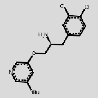 CC(C)(C)c1cncc(OC[C@@H](N)Cc2ccc(Cl)c(Cl)c2)c1